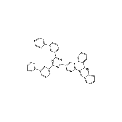 c1ccc(-c2cccc(-c3nc(-c4ccc(-c5nc6ccccc6nc5-c5ccccc5)cc4)nc(-c4cccc(-c5ccccc5)c4)n3)c2)cc1